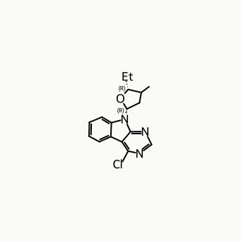 CC[C@H]1O[C@@H](n2c3ccccc3c3c(Cl)ncnc32)CC1C